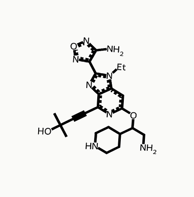 CCn1c(-c2nonc2N)nc2c(C#CC(C)(C)O)nc(OC(CN)C3CCNCC3)cc21